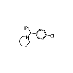 C[C](C)C(c1ccc(Cl)cc1)N1CCCCC1